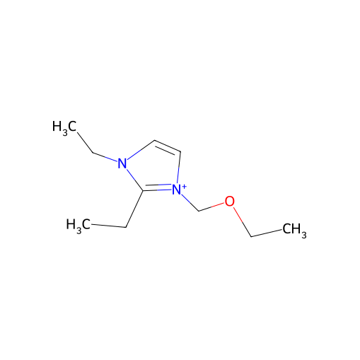 CCOC[n+]1ccn(CC)c1CC